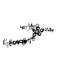 COc1ccc(C(OCC2(COC(=O)CCC(=O)O)CCN(C(=O)CCCCCNS(=O)(=O)c3ccc(/N=N/c4ccc(N(C)C)cc4)cc3)CC2)(c2ccccc2)c2ccc(OC)cc2)cc1